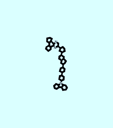 c1cc(-c2ccc3cc(-c4ccc(-c5ccc(-n6c7ccccc7c7ccccc76)cc5)cc4)ccc3c2)cc(-c2cnc3c4ccccc4c4ccccc4c3n2)c1